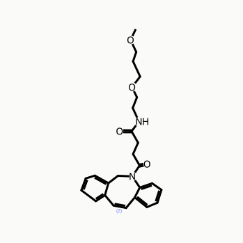 COCCCOCCNC(=O)CCC(=O)N1Cc2ccccc2/C=C\c2ccccc21